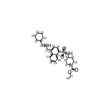 CCOC(=O)N1CCC(NS(=O)(=O)c2ccc(CNCC3CCCCC3)c3ccccc23)CC1